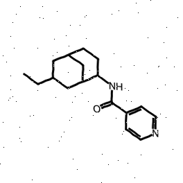 CCC1CC2CCC(NC(=O)c3ccncc3)C(C1)C2